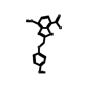 COc1ccc(OCc2nc3c(OC)ccc(C(=O)Cl)c3[nH]2)cc1